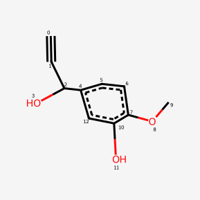 C#CC(O)c1ccc(OC)c(O)c1